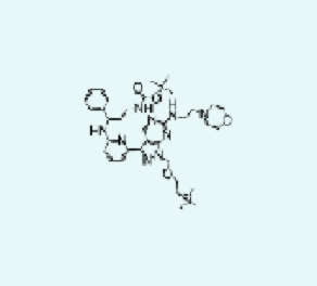 CC(C)(C)OC(=O)NCCC(Nc1cccc(-c2nn(COCC[Si](C)(C)C)c3nc(NCCN4CCOCC4)ncc23)n1)c1ccccc1